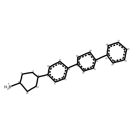 BC1CCC(c2ccc(-c3ccc(-c4ccccc4)cc3)cc2)CC1